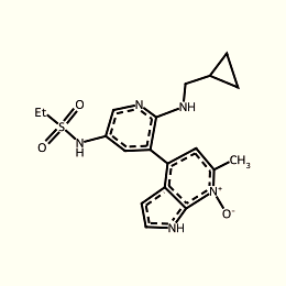 CCS(=O)(=O)Nc1cnc(NCC2CC2)c(-c2cc(C)[n+]([O-])c3[nH]ccc23)c1